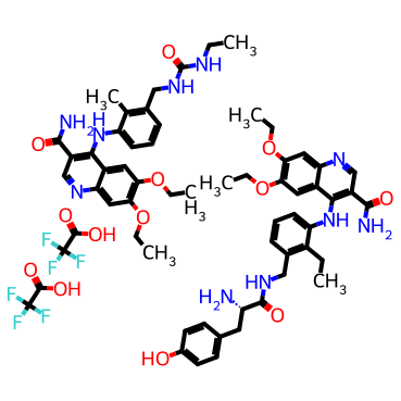 CCNC(=O)NCc1cccc(Nc2c(C(N)=O)cnc3cc(OCC)c(OCC)cc23)c1C.CCOc1cc2ncc(C(N)=O)c(Nc3cccc(CNC(=O)[C@@H](N)Cc4ccc(O)cc4)c3CC)c2cc1OCC.O=C(O)C(F)(F)F.O=C(O)C(F)(F)F